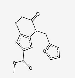 COC(=O)c1cc2c(s1)SCC(=O)N2Cc1ccco1